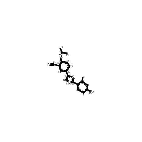 Cc1cc(Br)ccc1-c1ncc(-c2ccc(OC(C)C)c(C#N)c2)s1